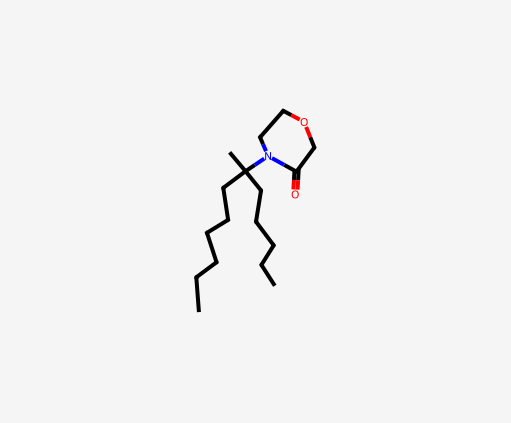 CCCCCCC(C)(CCCCC)N1CCOCC1=O